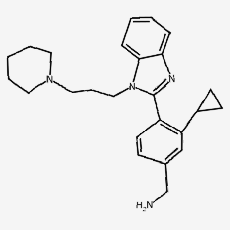 NCc1ccc(-c2nc3ccccc3n2CCCN2CCCCC2)c(C2CC2)c1